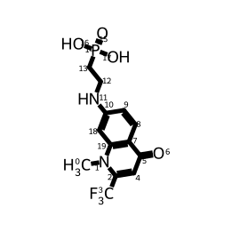 Cn1c(C(F)(F)F)cc(=O)c2ccc(NCCP(=O)(O)O)cc21